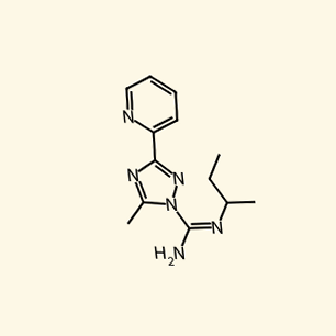 CCC(C)/N=C(/N)n1nc(-c2ccccn2)nc1C